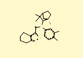 Cc1ccc(N(C(=O)c2n[nH]c3c2CCCC3)C2C(C)(C)C3CC[C@@]2(C)C3)cc1Cl